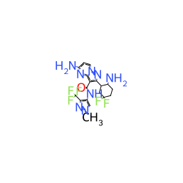 Cn1cc(NC(=O)c2c(C3CC(F)(F)CCC3N)nn3ccc(N)nc23)c(C(F)(F)F)n1